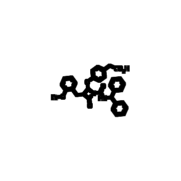 CCOc1ccccc1CC1C(=O)N(C(=O)NC(c2ccccc2)c2ccccc2)C1Oc1ccc(CC(=O)O)cc1